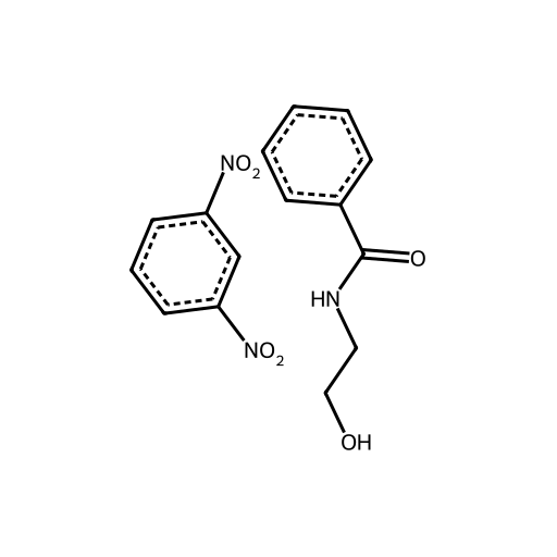 O=C(NCCO)c1ccccc1.O=[N+]([O-])c1cccc([N+](=O)[O-])c1